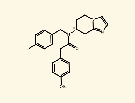 CC(C)COc1ccc(CC(=O)N(Cc2ccc(F)cc2)[C@@H]2CCn3ccnc3C2)cc1